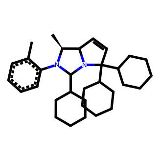 Cc1ccccc1N1C(C2CCCCC2)N2C(C=CC2(C2CCCCC2)C2CCCCC2)[C@@H]1C